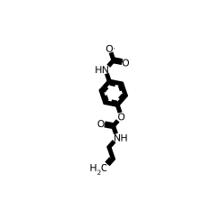 C=CCNC(=O)Oc1ccc(NC([O])=O)cc1